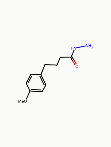 COc1ccc(CCCC(=O)NN)cc1